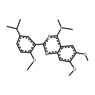 COc1cc2nc(-c3cc(C(C)C)ccc3OC)nc(N(C)C)c2cc1OC